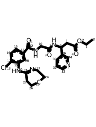 CCOC(=O)CC(NC(=O)CNC(=O)c1ccc(Cl)c(NC2=NCCCCC2)c1)c1cccnc1